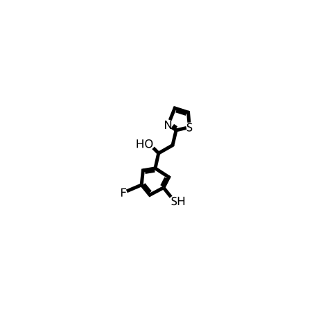 OC(Cc1nccs1)c1cc(F)cc(S)c1